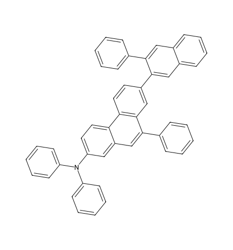 c1ccc(-c2cc3ccccc3cc2-c2ccc3c(c2)c(-c2ccccc2)cc2cc(N(c4ccccc4)c4ccccc4)ccc23)cc1